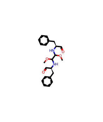 COC(N[C@H](C=O)Cc1ccccc1)C(N[C@H](C=O)Cc1ccccc1)OC